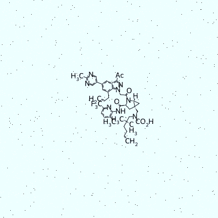 C=CCCC(C)(C)CN(C[C@@]12C[C@@H](C(=O)Nc3nc(C(F)(F)F)ccc3C)N(C(=O)Cn3nc(C(C)=O)c4cc(-c5cnc(C)nc5)cc(CC=C)c43)[C@@H]1C2)C(=O)O